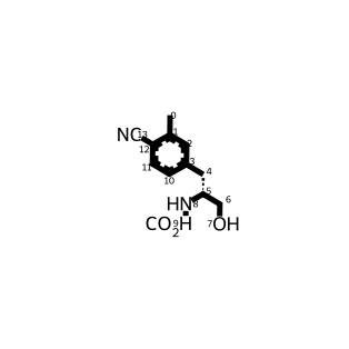 Cc1cc(C[C@H](CO)NC(=O)O)ccc1C#N